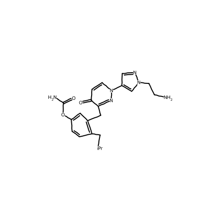 CC(C)Cc1ccc(OC(N)=O)cc1Cc1nn(-c2cnn(CCN)c2)ccc1=O